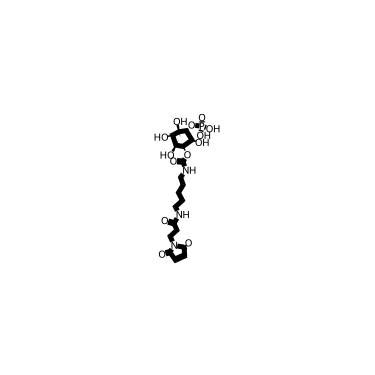 O=C(CCN1C(=O)C=CC1=O)NCCCCCNC(=O)O[C@H]1[C@@H](O)[C@@H](OP(=O)(O)O)[C@H](O)[C@@H](O)[C@@H]1O